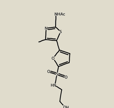 CC(=O)Nc1nc(C)c(-c2ccc(S(=O)(=O)NCCO)o2)s1